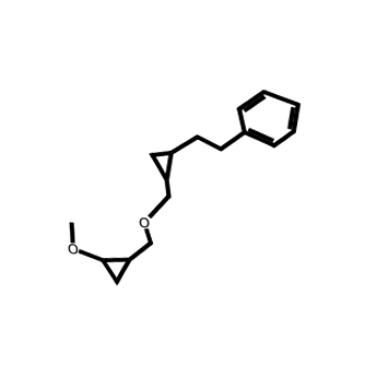 COC1CC1COCC1CC1CCc1ccccc1